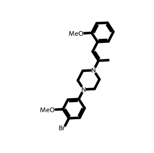 COc1cc(N2CCN(C(C)=Cc3ccccc3OC)CC2)ccc1Br